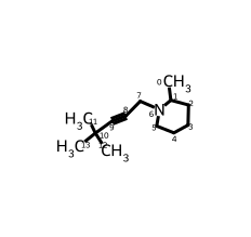 CC1CCCCN1CC#CC(C)(C)C